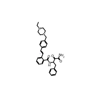 CCN1CCN(Cc2ccc(/C=C/c3ccccc3C(=O)NC(Cc3ccccc3)C(=O)C(N)=O)cc2)CC1